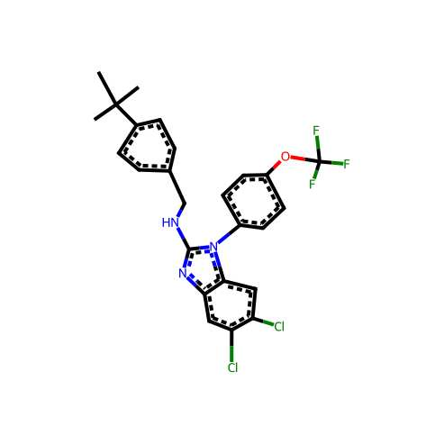 CC(C)(C)c1ccc(CNc2nc3cc(Cl)c(Cl)cc3n2-c2ccc(OC(F)(F)F)cc2)cc1